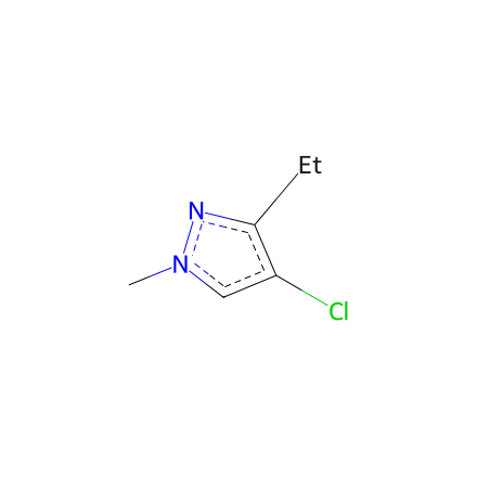 CCc1nn(C)cc1Cl